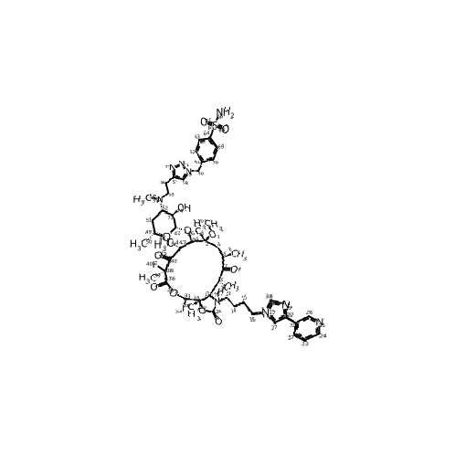 CO[C@]1(C)C[C@@H](C)C(=O)[C@H](C)[C@H]2N(CCCCn3cnc(-c4cccnc4)c3)C(=O)O[C@]2(C)[C@@H](I)OC(=O)[C@@](C)(F)C(=O)[C@H](C)[C@H]1O[C@@H]1O[C@H](C)C[C@H](N(C)CCc2cn(Cc3ccc(S(N)(=O)=O)cc3)nn2)[C@H]1O